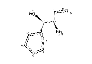 C=C[C@@H](N)[C@H](O)c1ccccc1